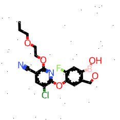 CCCOCCOc1nc(Oc2cc3c(cc2F)B(O)OC3)c(Cl)cc1C#N